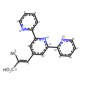 N#C/C(=C\c1cc(-c2ccccn2)nc(-c2ccccn2)c1)C(=O)O